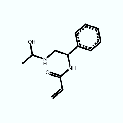 C=CC(=O)NC(CNC(C)O)c1ccccc1